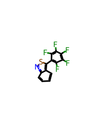 Fc1c(F)c(F)c(-c2snc3ccccc23)c(F)c1F